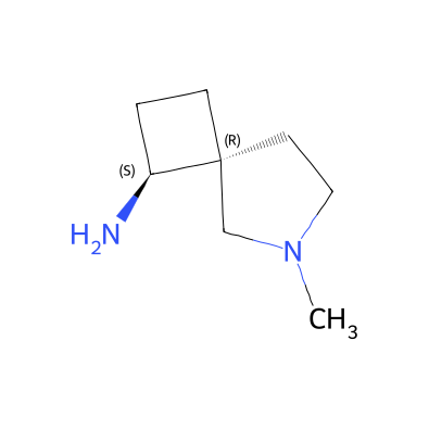 CN1CC[C@]2(CC[C@@H]2N)C1